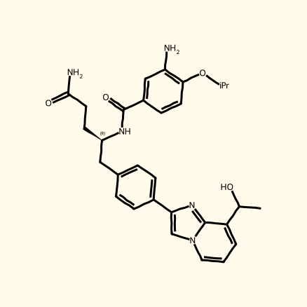 CC(C)Oc1ccc(C(=O)N[C@H](CCC(N)=O)Cc2ccc(-c3cn4cccc(C(C)O)c4n3)cc2)cc1N